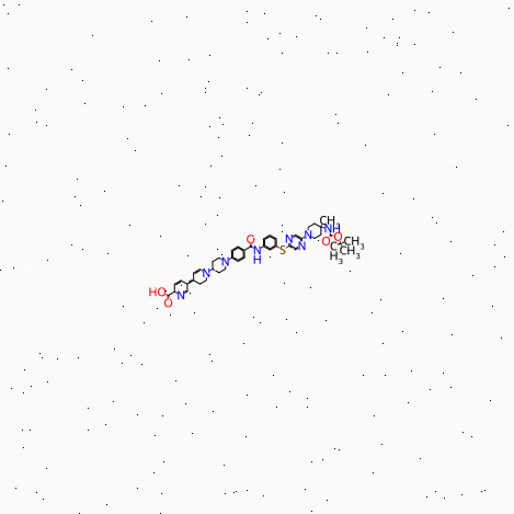 CC1(NC(=O)OC(C)(C)C)CCN(c2cnc(Sc3cccc(NC(=O)c4ccc(N5CCC(N6C=CC(=C7C=CC(C(=O)O)N=C7)CC6)CC5)cc4)c3)cn2)CC1